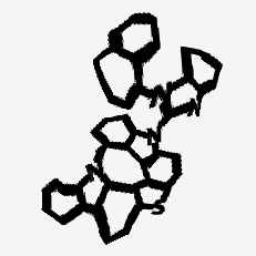 C1=c2c3c(n4c5ccccc5c5ccc6sc7ccc(c3c7c6c54)n2-c2nc3ccccc3n2-c2cccc3ccccc23)CC1